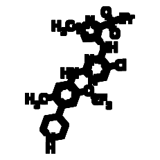 Cc1cc(Nc2ncc(Cl)c(Nc3cn(C)nc3S(=O)(=O)C(C)C)n2)c(OC(F)(F)F)cc1C1CCNCC1